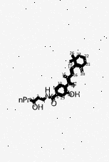 CCCC(O)CCNC(=O)c1ccc(/C(F)=C(C)/C=C/C2=C(C)CCCC2(C)C)c(O)c1